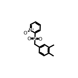 Cc1ccc(CS(=O)(=O)c2cccc[n+]2[O-])cc1C